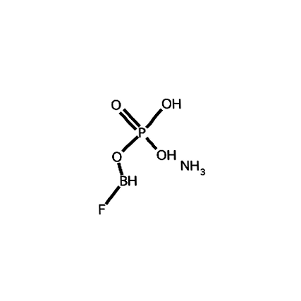 N.O=P(O)(O)OBF